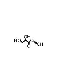 C#COC(=O)C(O)CO